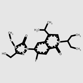 CCC(CC)n1cc(C(C)C)c2cc(-n3nc(CO)n(CC)c3=O)c(F)cc2c1=O